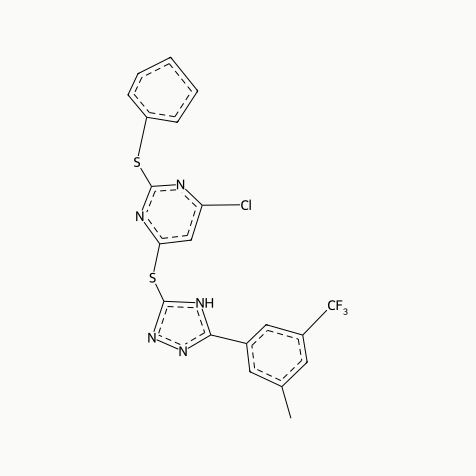 Cc1cc(-c2nnc(Sc3cc(Cl)nc(Sc4ccccc4)n3)[nH]2)cc(C(F)(F)F)c1